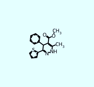 COC(=O)C1=C(C)NN=C(c2cccs2)C1c1ccccc1